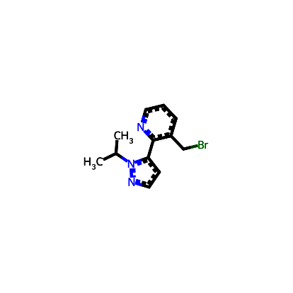 CC(C)n1nccc1-c1ncccc1CBr